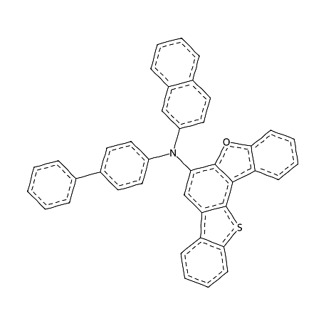 c1ccc(-c2ccc(N(c3ccc4ccccc4c3)c3cc4c5ccccc5sc4c4c3oc3ccccc34)cc2)cc1